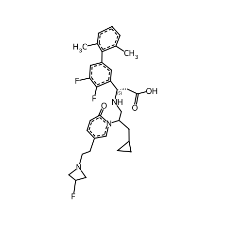 Cc1cccc(C)c1-c1cc(F)c(F)c([C@H](CC(=O)O)NCC(CC2CC2)n2cc(CCN3CC(F)C3)ccc2=O)c1